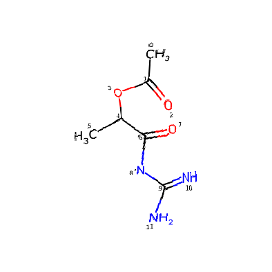 CC(=O)OC(C)C(=O)[N]C(=N)N